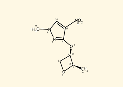 C[C@H]1OC[C@H]1Oc1nn(C)cc1[N+](=O)[O-]